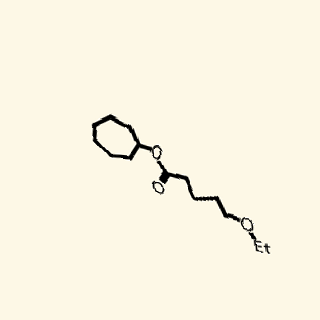 CCOCCCCC(=O)OC1CCCCCC1